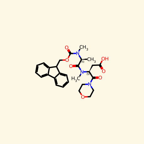 C[C@@H](C(=O)N(C)[C@@H](CC(=O)O)C(=O)N1CCOCC1)N(C)C(=O)OCC1c2ccccc2-c2ccccc21